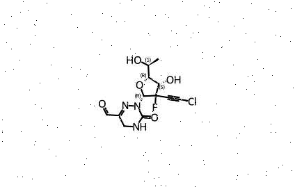 C[C@H](O)[C@H]1O[C@@H](N2N=C(C=O)CNC2=O)C(F)(C#CCl)[C@H]1O